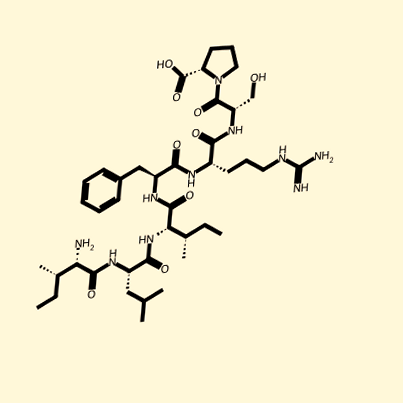 CC[C@H](C)[C@H](N)C(=O)N[C@@H](CC(C)C)C(=O)N[C@H](C(=O)N[C@@H](Cc1ccccc1)C(=O)N[C@@H](CCCNC(=N)N)C(=O)N[C@@H](CO)C(=O)N1CCC[C@H]1C(=O)O)[C@@H](C)CC